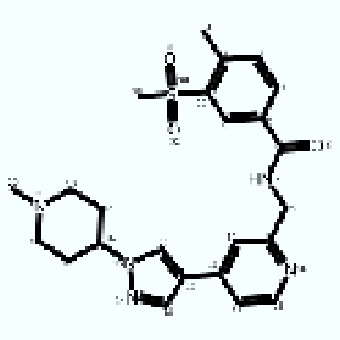 Cc1ccc(C(=O)NCc2cc(-c3cnn(C4CCN(C)CC4)c3)ccn2)cc1S(C)(=O)=O